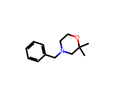 CC1(C)CN(Cc2ccccc2)CCO1